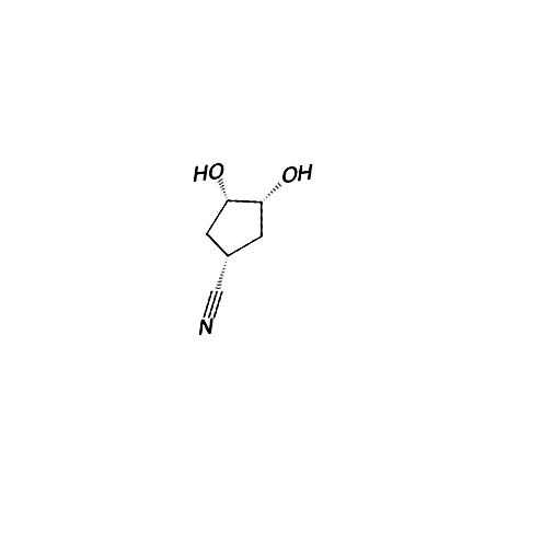 N#C[C@H]1C[C@@H](O)[C@@H](O)C1